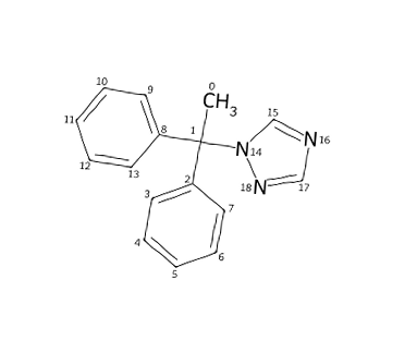 CC(c1ccccc1)(c1ccccc1)n1cncn1